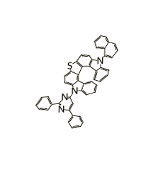 c1ccc(-c2cc(-n3c4ccccc4c4c5c(ccc43)sc3ccc4c(c6ccccc6n4-c4cccc6ccccc46)c35)nc(-c3ccccc3)n2)cc1